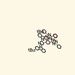 CC(C)(C)c1ccc2c(c1)c1ccccc1n2-c1cc(-c2ccc(-c3nc(-c4ccccc4)nc(-c4ccccc4)n3)c(-c3nc(-c4ccccc4)nc(-c4ccccc4)n3)c2)c(-n2c3ccccc3c3cc(C(C)(C)C)ccc32)cn1